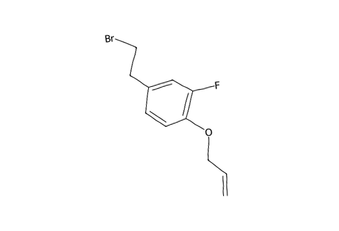 C=CCOc1ccc(CCBr)cc1F